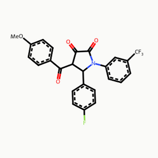 COc1ccc(C(=O)C2C(=O)C(=O)N(c3cccc(C(F)(F)F)c3)C2c2ccc(F)cc2)cc1